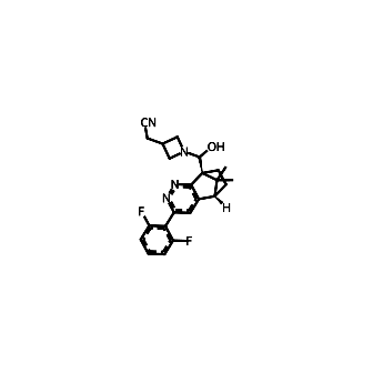 CC1(C)[C@@H]2CC[C@@]1(C(O)N1CC(CC#N)C1)c1nnc(-c3c(F)cccc3F)cc12